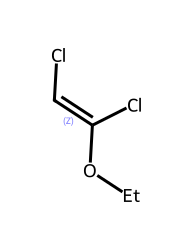 CCO/C(Cl)=C/Cl